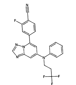 N#Cc1ccc(-c2cc(N(CCC(F)(F)F)c3ccccc3)cc3ncnn23)cc1F